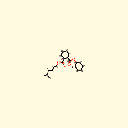 CC(C)CCCCOC(=O)C1CCCCC1C(=O)OC1CCCCC1